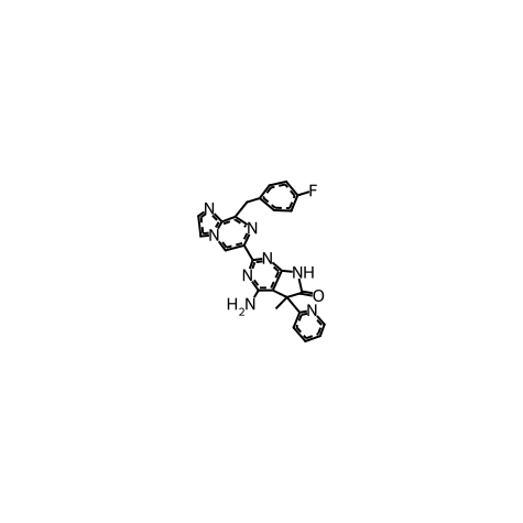 CC1(c2ccccn2)C(=O)Nc2nc(-c3cn4ccnc4c(Cc4ccc(F)cc4)n3)nc(N)c21